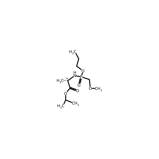 CCCOP(=O)(COC)N[C@@H](C)C(=O)OC(C)C